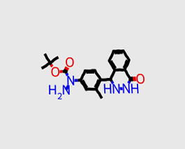 Cc1cc(N(N)C(=O)OC(C)(C)C)ccc1C1NNC(=O)c2ccccc21